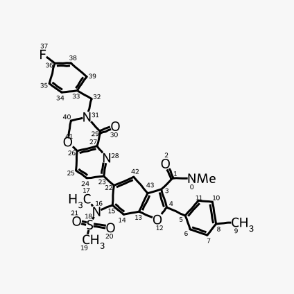 CNC(=O)c1c(-c2ccc(C)cc2)oc2cc(N(C)S(C)(=O)=O)c(-c3ccc4c(n3)C(=O)N(Cc3ccc(F)cc3)CO4)cc12